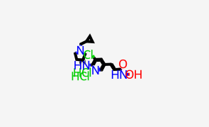 Cl.Cl.O=C(C=Cc1cnc(N[C@@H]2CCN(CC3CC3)C2)c(Cl)c1)NO